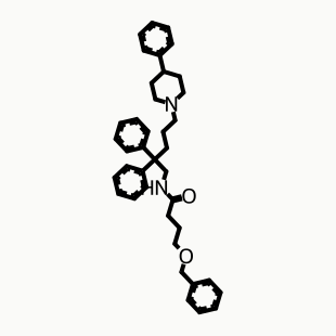 O=C(CCCOCc1ccccc1)NCC(CCCN1CCC(c2ccccc2)CC1)(c1ccccc1)c1ccccc1